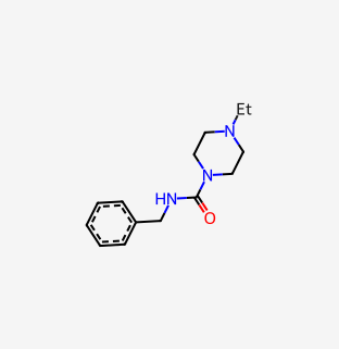 [CH2]CN1CCN(C(=O)NCc2ccccc2)CC1